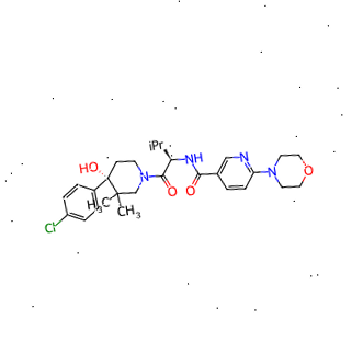 CC(C)[C@@H](NC(=O)c1ccc(N2CCOCC2)nc1)C(=O)N1CC[C@](O)(c2ccc(Cl)cc2)C(C)(C)C1